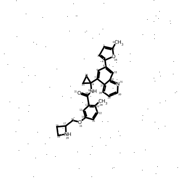 Cc1ccc(-c2cc(C3(NC(=O)c4cc(OCC5CCN5)ccc4C)CC3)c3cccnc3c2)o1